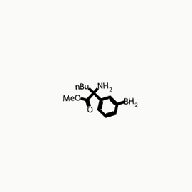 Bc1cccc(C(N)(CCCC)C(=O)OC)c1